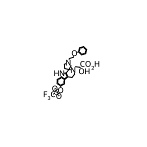 O=C(O)[C@H](O)CN1CCc2c([nH]c3ccc(OS(=O)(=O)C(F)(F)F)cc23)C12CCN(CCOc1ccccc1)C2